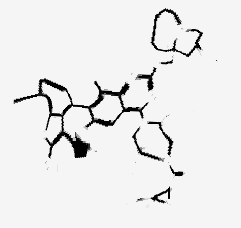 C[C@@H]1N[C@H]1C(=O)N1C[C@H](C)N(c2nc(OC[C@@]34CCCN3C[C@H](F)C4)nc3c(F)c(-c4ccc(F)c5sc(N)c(C#N)c45)c(Cl)cc23)C[C@H]1C